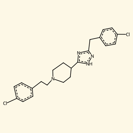 Clc1ccc(CCN2CCC(c3nc(Cc4ccc(Cl)cc4)n[nH]3)CC2)cc1